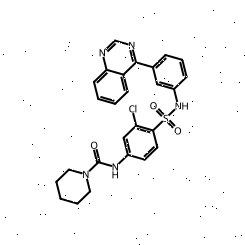 O=C(Nc1ccc(S(=O)(=O)Nc2cccc(-c3ncnc4ccccc34)c2)c(Cl)c1)N1CCCCC1